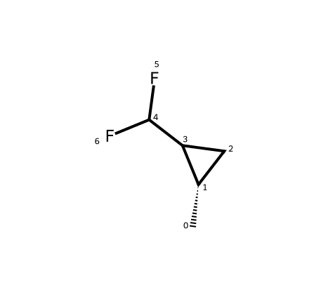 C[C@H]1CC1C(F)F